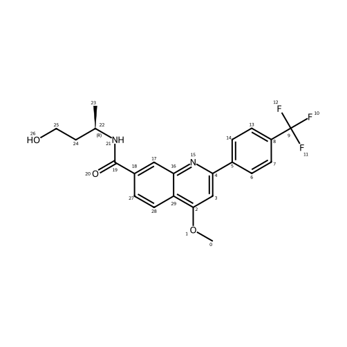 COc1cc(-c2ccc(C(F)(F)F)cc2)nc2cc(C(=O)N[C@H](C)CCO)ccc12